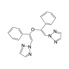 C(=C(OC(=Cn1nccn1)c1ccccc1)c1ccccc1)n1nccn1